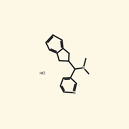 CN(C)C(c1cccnc1)C1Cc2ccccc2C1.Cl